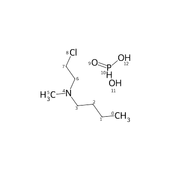 CCCCN(C)CCCl.O=[PH](O)O